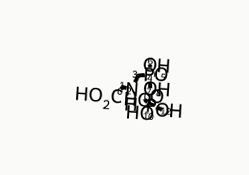 O=C(O)CNCP(=O)(O)O.O=P(O)(O)O